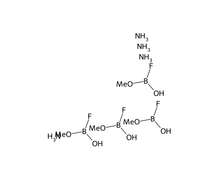 COB(O)F.COB(O)F.COB(O)F.COB(O)F.N.N.N.N